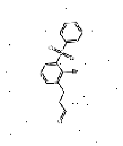 O=CCCc1cccc(S(=O)(=O)c2ccccc2)c1Br